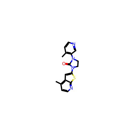 Cc1ccncc1N1CCN(c2cc3c(C)ccnc3s2)C1=O